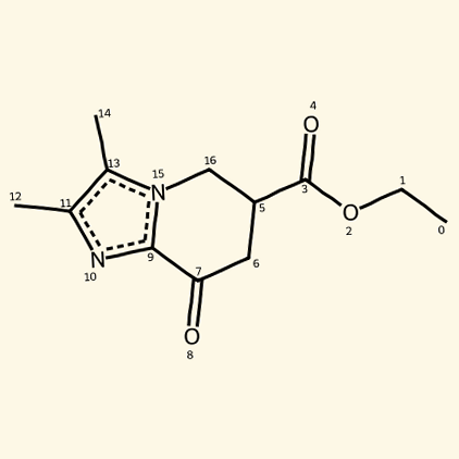 CCOC(=O)C1CC(=O)c2nc(C)c(C)n2C1